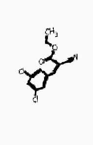 CCOC(=O)/C(C#N)=C\c1cc(Cl)cc(Cl)c1